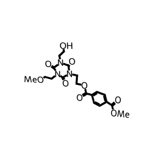 COCCn1c(=O)n(CCO)c(=O)n(CCOC(=O)c2ccc(C(=O)OC)cc2)c1=O